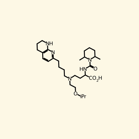 CC(C)OCCN(CCCCc1ccc2c(n1)NCCC2)CCC(NC(=O)N1C(C)CCCC1C)C(=O)O